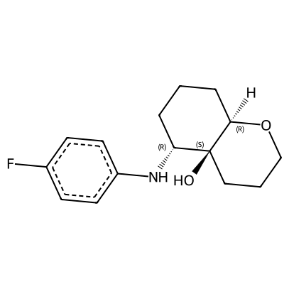 O[C@]12CCCO[C@@H]1CCC[C@H]2Nc1ccc(F)cc1